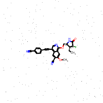 CC[C@@H]1[C@H](F)C(=O)N[C@@H]1COc1ncc(C#Cc2ccc(C#N)cc2)c2cc(C#N)c(OC)cc12